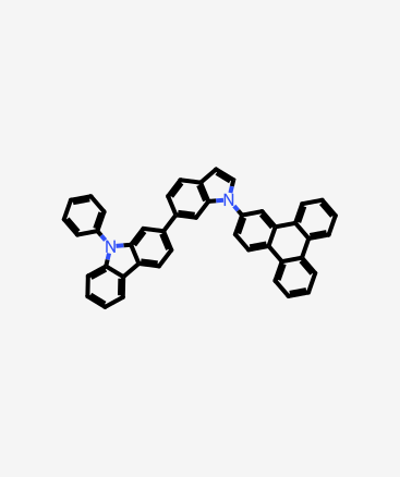 c1ccc(-n2c3ccccc3c3ccc(-c4ccc5ccn(-c6ccc7c8ccccc8c8ccccc8c7c6)c5c4)cc32)cc1